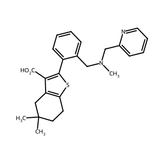 CN(Cc1ccccn1)Cc1ccccc1-c1sc2c(c1C(=O)O)CC(C)(C)CC2